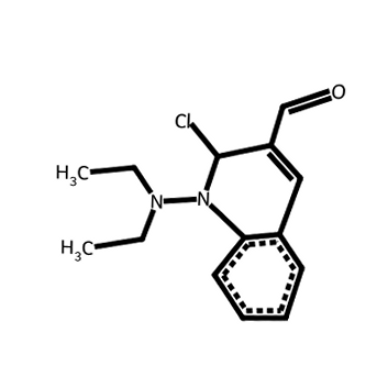 CCN(CC)N1c2ccccc2C=C(C=O)C1Cl